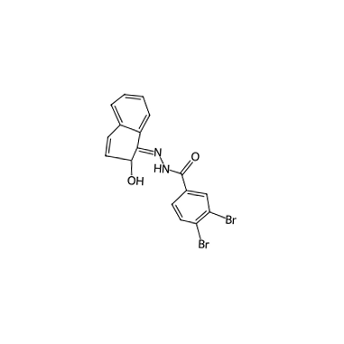 O=C(NN=C1c2ccccc2C=CC1O)c1ccc(Br)c(Br)c1